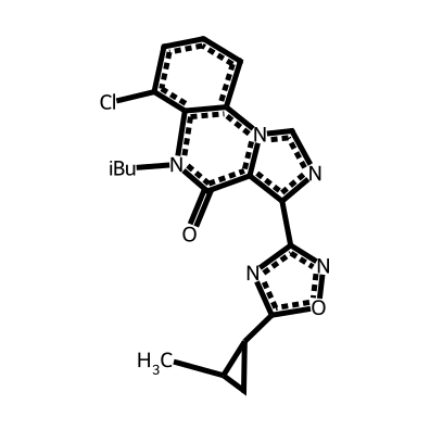 CCC(C)n1c(=O)c2c(-c3noc(C4CC4C)n3)ncn2c2cccc(Cl)c21